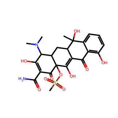 CN(C)C1C(O)=C(C(N)=O)C(=O)C2(OS(C)(=O)=O)C(O)=C3C(=O)c4c(O)cccc4C(C)(O)C3CC12